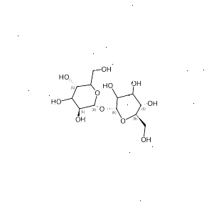 OCC1O[C@H](O[C@H]2O[C@H](CO)[C@@H](O)C(O)C2O)[C@@H](O)C(O)[C@@H]1O